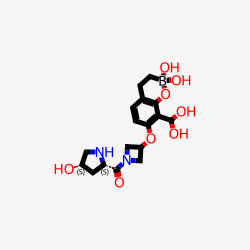 O=C([C@@H]1C[C@H](O)CN1)N1CC(Oc2ccc3c(c2C(O)O)O[B-](O)(O)CC3)C1